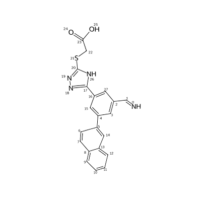 N=Cc1cc(-c2ccc3ccccc3c2)cc(-c2nnc(SCC(=O)O)[nH]2)c1